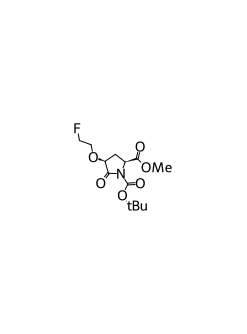 COC(=O)[C@@H]1C[C@H](OCCF)C(=O)N1C(=O)OC(C)(C)C